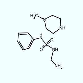 CN1CCNCC1.NCNS(=O)(=O)Nc1ccccc1